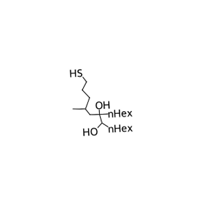 CCCCCCC(O)C(O)(CCCCCC)CC(C)CCCS